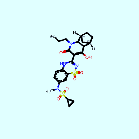 CC(C)CCN1C(=O)C(C2=NS(=O)(=O)c3cc(N(C)S(=O)(=O)C4CC4)ccc3N2)=C(O)C2C1[C@@H]1CC[C@H]2C1